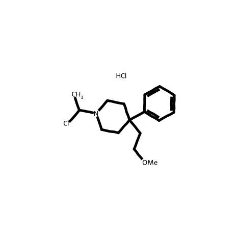 COCCC1(c2ccccc2)CCN(C(C)Cl)CC1.Cl